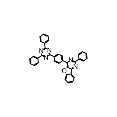 c1ccc(-c2nc(-c3ccccc3)nc(-c3ccc(-c4nc(-c5ccccc5)nc5c4oc4ccccc45)cc3)n2)cc1